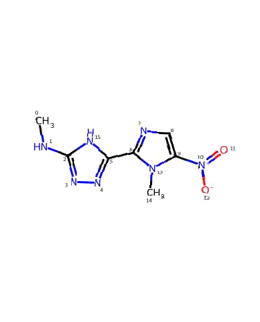 CNc1nnc(-c2ncc([N+](=O)[O-])n2C)[nH]1